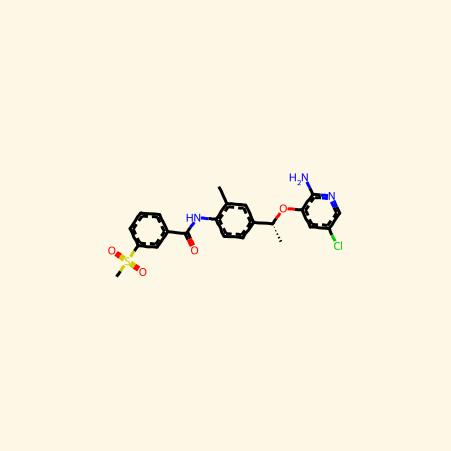 Cc1cc([C@@H](C)Oc2cc(Cl)cnc2N)ccc1NC(=O)c1cccc(S(C)(=O)=O)c1